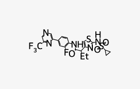 CCC(C(=O)Nc1ccc(-c2cncc(C(F)(F)F)n2)cc1F)c1csc(NS(=O)(=O)C2CC2)n1